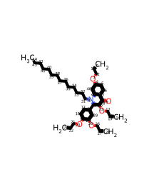 C=CCOc1ccc2c(=O)c(OCC=C)c(-c3ccc(OCC=C)c(OCC=C)c3)n(CCCCCCCCCCCCCC)c2c1